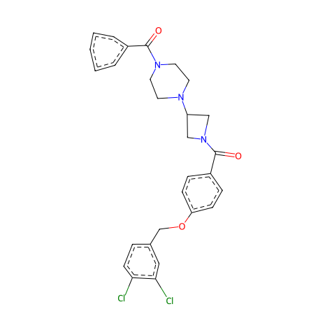 O=C(c1ccccc1)N1CCN(C2CN(C(=O)c3ccc(OCc4ccc(Cl)c(Cl)c4)cc3)C2)CC1